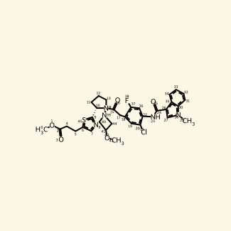 COC(=O)CCc1cnc([C@@H]2CCC[N+]2(C(=O)Cc2cc(Cl)c(NC(=O)c3cn(C)c4ccccc34)cc2F)N2CC(OC)C2)s1